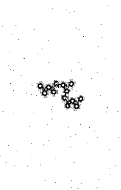 c1ccc(-n2c3ccc(-c4cccc(-n5c6ccccc6c6c7c8ccccc8n(-c8ccccc8)c7ccc65)n4)cc3c3cc(-c4cccc(-n5c6ccccc6c6c7c8ccccc8n(-c8ccccc8)c7ccc65)n4)ccc32)cc1